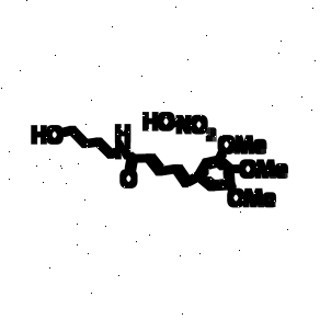 COc1cc(C=CC=CC(=O)NCCCCO)cc(OC)c1OC.O=[N+]([O-])O